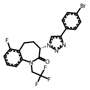 O=C1[C@@H](n2cc(-c3ccc(Br)cc3)nn2)CCc2c(F)cccc2N1CC(F)(F)F